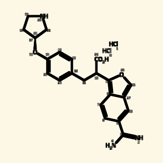 Cl.Cl.N=C(N)c1ccc2c(C(Cc3ccc(O[C@H]4CCNC4)cc3)C(=O)O)occ2c1